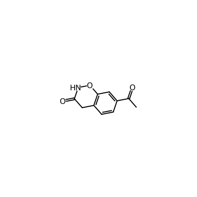 CC(=O)c1ccc2c(c1)ONC(=O)C2